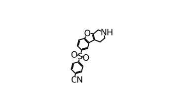 N#Cc1ccc(S(=O)(=O)c2ccc3oc4c(c3c2)CCNC4)cc1